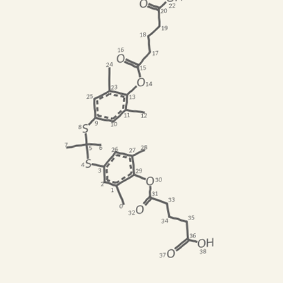 Cc1cc(SC(C)(C)Sc2cc(C)c(OC(=O)CCCC(=O)O)c(C)c2)cc(C)c1OC(=O)CCCC(=O)O